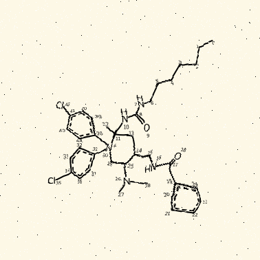 CCCCCCCNC(=O)NC1(C)CC(CNC(=O)c2ccccc2)C(N(C)C)C[N+]1(c1ccc(Cl)cc1)c1ccc(Cl)cc1